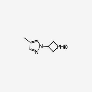 Cc1cnn(C2C[PH](=O)C2)c1